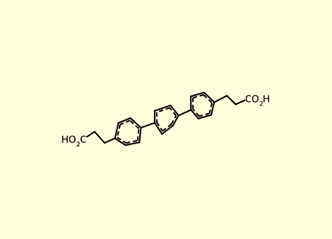 O=C(O)CCc1ccc(-c2ccc(-c3ccc(CCC(=O)O)cc3)cc2)cc1